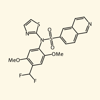 COc1cc(N(c2nccs2)S(=O)(=O)c2ccc3cnccc3c2)c(OC)cc1C(F)F